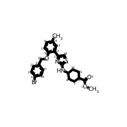 COC(=O)C1CCC(Nc2nc(-c3cc(C)ccc3OCc3ccc(Br)cc3)cs2)CC1